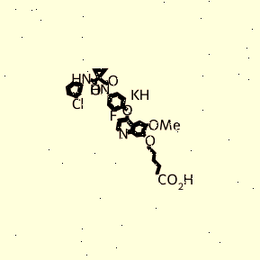 COc1cc2c(Oc3ccc(NC(=O)C4(C(=O)Nc5cccc(Cl)c5)CC4)cc3F)ccnc2cc1OCCCCCC(=O)O.[KH]